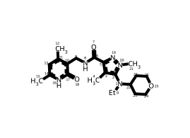 CCN(c1c(C)c(C(=O)NCc2c(C)cc(C)[nH]c2=O)nn1C)C1CCOCC1